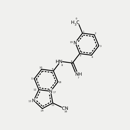 Cc1cccc(C(=N)Nc2ccc3ncc(C#N)n3c2)n1